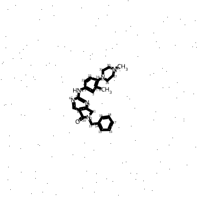 Cc1cc(Nc2ncc3c(n2)CN(Cc2ccccc2)C3=O)ccc1N1CCN(C)CC1